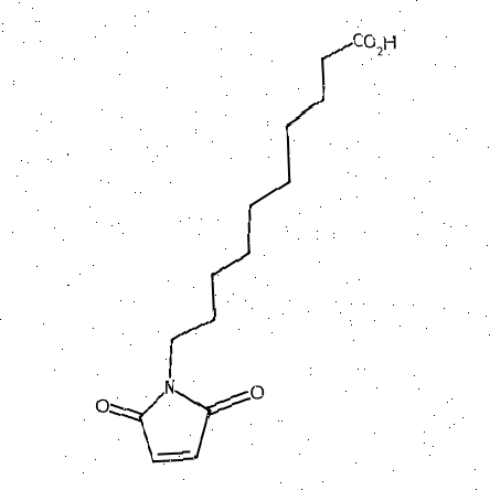 O=C(O)CCCCCCCCCN1C(=O)C=CC1=O